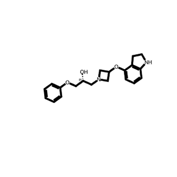 O[C@@H](COc1ccccc1)CN1CC(Oc2cccc3c2CCN3)C1